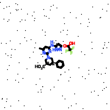 Cc1cc(Nc2ccn[nH]2)nc(N2C[C@@H](C(=O)O)C[C@@H](c3ccccc3)C2)n1.O=C(O)C(F)(F)F